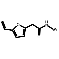 C=Cc1ccc(CC(=O)NC(C)C)o1